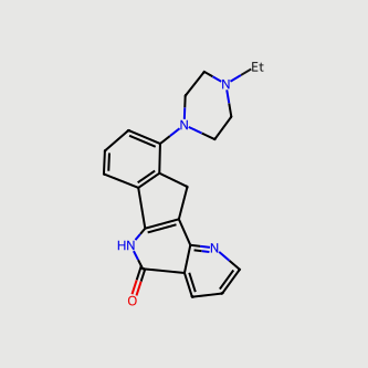 CCN1CCN(c2cccc3c2Cc2c-3[nH]c(=O)c3cccnc23)CC1